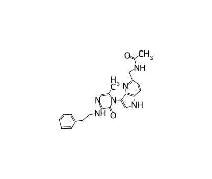 CC(=O)NCc1ccc2[nH]cc(-n3c(C)cnc(NCCc4ccccc4)c3=O)c2n1